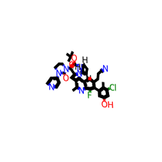 Cc1c(Cl)cc(O)cc1-c1c(CCC#N)cc2c(nc(C)c3cc([C@@H](C)N4CCCN(c5ccncc5)C4=O)n([C@H]4[C@@H]5C[C@H]4N(C(=O)OC(C)(C)C)C5)c32)c1F